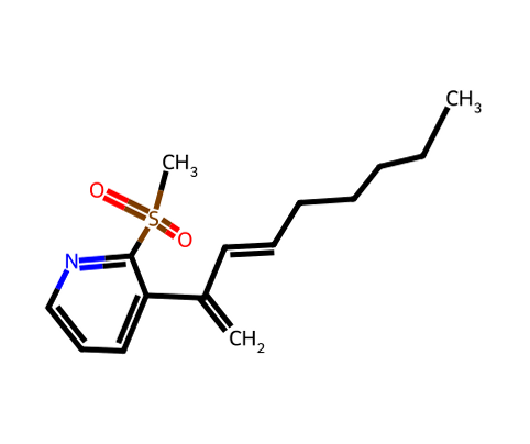 C=C(C=CCCCCC)c1cccnc1S(C)(=O)=O